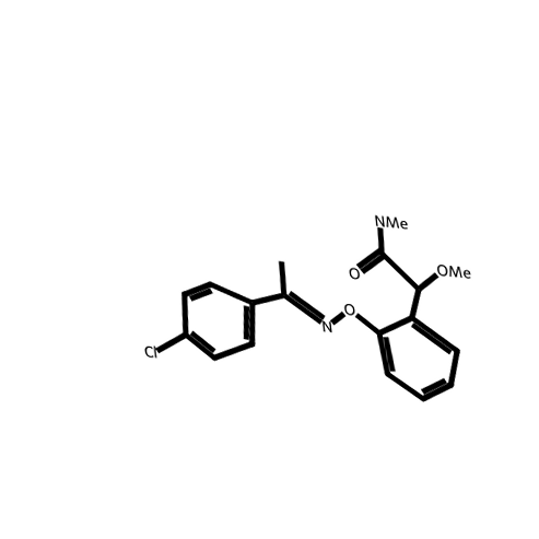 CNC(=O)C(OC)c1ccccc1O/N=C(\C)c1ccc(Cl)cc1